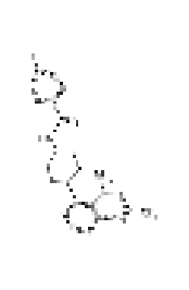 Cc1ccc(C(=O)NC2CCC(c3cccc4nc(C(F)(F)F)cc(N)c34)CC2)cc1